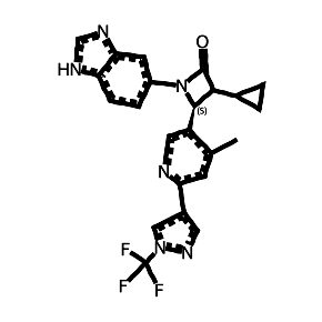 Cc1cc(-c2cnn(C(F)(F)F)c2)ncc1[C@@H]1C(C2CC2)C(=O)N1c1ccc2[nH]cnc2c1